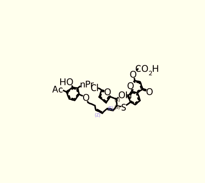 CCCc1c(OCC/C=C\C=C\[C@H](Sc2ccc3c(=O)cc(OC(=O)O)oc3c2)[C@H](O)c2ccc(Cl)o2)ccc(C(C)=O)c1O